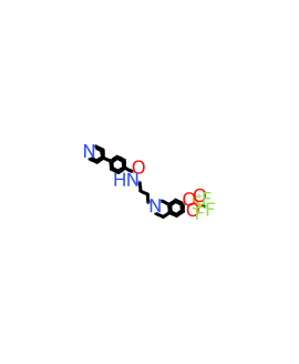 O=C(NCCCCN1CCc2ccc(OS(=O)(=O)C(F)(F)F)cc2C1)c1ccc(-c2ccncc2)cc1